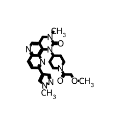 COCC(=O)N1CCC(N2C(=O)N(C)Cc3cnc4ccc(-c5cnn(C)c5)nc4c32)CC1